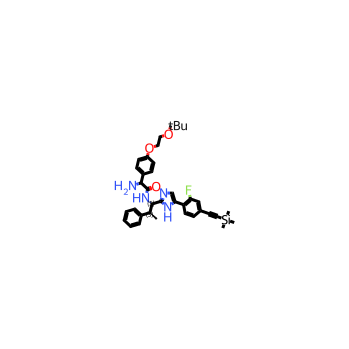 C[C@@H](c1ccccc1)[C@H](NC(=O)C(N)c1ccc(OCCOC(C)(C)C)cc1)c1ncc(-c2ccc(C#C[Si](C)(C)C)cc2F)[nH]1